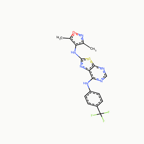 Cc1noc(C)c1Nc1nc2c(Nc3ccc(C(F)(F)F)cc3)ncnc2s1